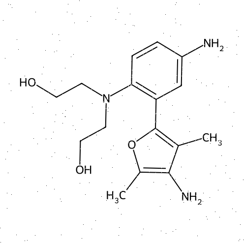 Cc1oc(-c2cc(N)ccc2N(CCO)CCO)c(C)c1N